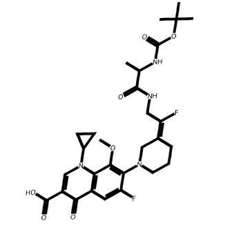 COc1c(N2CCC/C(=C(\F)CNC(=O)C(C)NC(=O)OC(C)(C)C)C2)c(F)cc2c(=O)c(C(=O)O)cn(C3CC3)c12